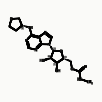 CNC(=O)OC[C@H]1O[C@@H](n2cnc3c(N[C@@H]4CCOC4)ncnc32)[C@H](O)[C@@H]1O